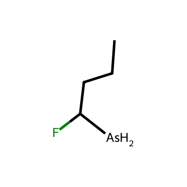 CCCC(F)[AsH2]